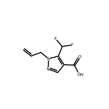 C=CCn1ncc(C(=O)O)c1C(F)F